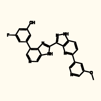 COc1cncc(-c2ccc3[nH]nc(-c4nc5c(-c6cc(O)cc(F)c6)cncc5[nH]4)c3n2)c1